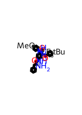 COc1ccc(N(C(=O)C(F)(F)F)c2ccc(NC(=O)[C@@H](N)Cc3ccccc3)cc2NC(=O)c2ccc(C(C)(C)C)cc2)cc1